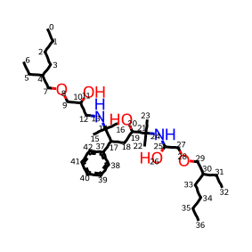 CCCCC(CC)COCC(O)CNC(C)(C)C(CC(O)C(C)(C)NC(O)COCC(CC)CCCC)c1ccccc1